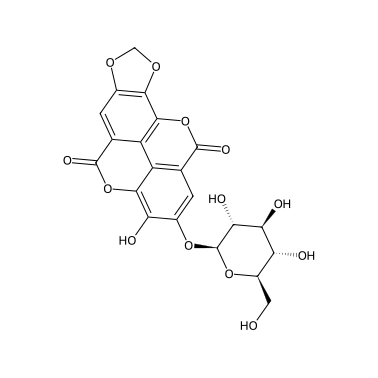 O=c1oc2c3c(cc4c(=O)oc5c(O)c(O[C@@H]6O[C@H](CO)[C@@H](O)[C@H](O)[C@H]6O)cc1c5c24)OCO3